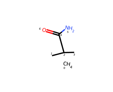 C.CC(C)C(N)=O